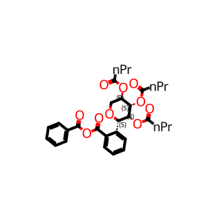 CCCC(=O)O[C@@H]1[C@H](OC(=O)CCC)[C@H](c2ccccc2C(=O)OC(=O)c2ccccc2)OC[C@H]1OC(=O)CCC